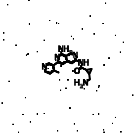 Cc1ccncc1-c1cc2cc(NC(=O)C3CC3CN)ncc2c(N)n1